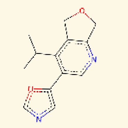 CC(C)c1c(-c2cnco2)cnc2c1COC2